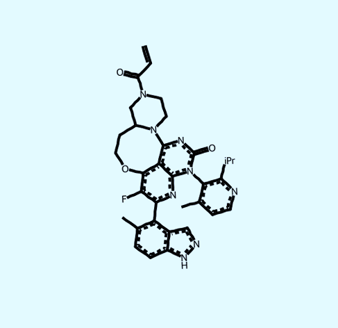 C=CC(=O)N1CCN2c3nc(=O)n(-c4c(C)ccnc4C(C)C)c4nc(-c5c(C)ccc6[nH]ncc56)c(F)c(c34)OCCC2C1